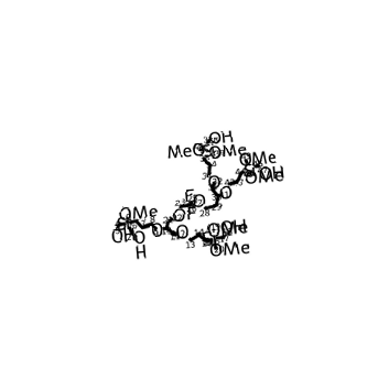 CO[Si](CO)(CO)CCCOC(COCCC[Si](CO)(OC)OC)COCC(F)(F)OCCC(COCCC[Si](CO)(OC)OC)OCCC[Si](CO)(OC)OC